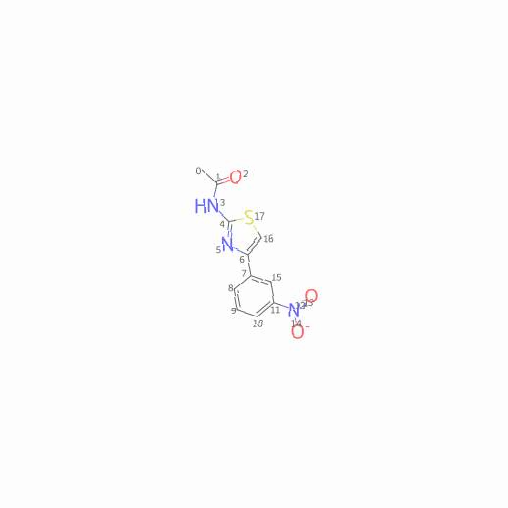 CC(=O)Nc1nc(-c2cccc([N+](=O)[O-])c2)cs1